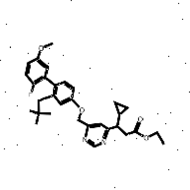 CCOC(=O)CC(c1cc(COc2ccc(-c3cc(OC)ccc3F)c(CC(C)(C)C)c2)ncn1)C1CC1